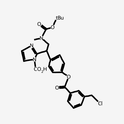 CN(CC(c1ccc(OC(=O)c2cccc(CCl)c2)cc1)c1nccn1C(=O)O)C(=O)OC(C)(C)C